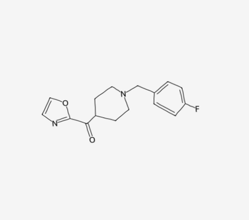 O=C(c1ncco1)C1CCN(Cc2ccc(F)cc2)CC1